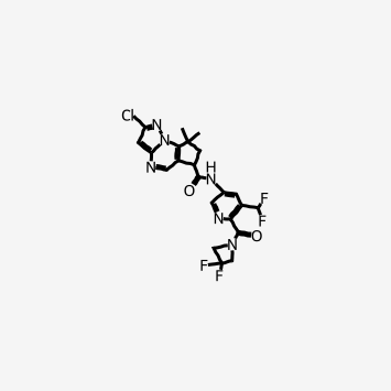 CC1(C)CC(C(=O)Nc2cnc(C(=O)N3CC(F)(F)C3)c(C(F)F)c2)c2cnc3cc(Cl)nn3c21